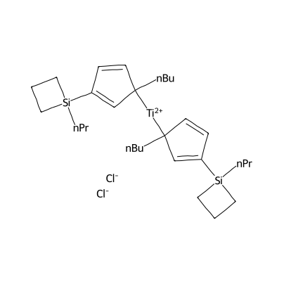 CCCC[C]1([Ti+2][C]2(CCCC)C=CC([Si]3(CCC)CCC3)=C2)C=CC([Si]2(CCC)CCC2)=C1.[Cl-].[Cl-]